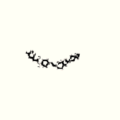 Cc1cc(CC(=O)N[C@H]2CC[C@H](CCN3CCc4sc(N5CC6(CCO6)C5)nc4C3)CC2)on1